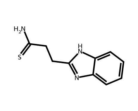 NC(=S)CCc1nc2ccccc2[nH]1